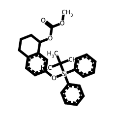 COC(=O)OC1CCCc2ccc(O[Si](c3ccccc3)(c3ccccc3)C(C)(C)C)cc21